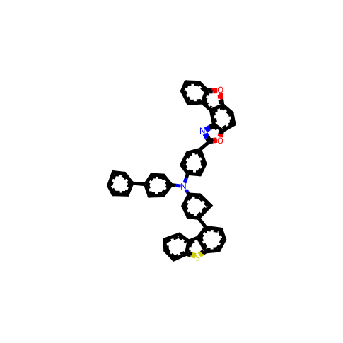 c1ccc(-c2ccc(N(c3ccc(-c4nc5c(ccc6oc7ccccc7c65)o4)cc3)c3ccc(-c4cccc5sc6ccccc6c45)cc3)cc2)cc1